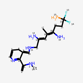 C=C(NCC)C1=NC=CC/C1=C\NC/C(N)=C/C(C)=C(\N)CCC(F)(F)P